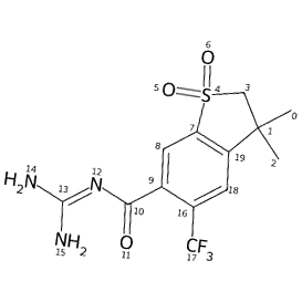 CC1(C)CS(=O)(=O)c2cc(C(=O)N=C(N)N)c(C(F)(F)F)cc21